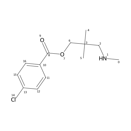 CNCC(C)(C)COC(=O)c1ccc(Cl)cc1